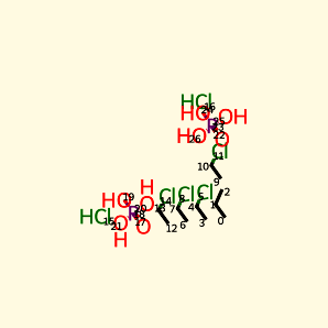 CCC.CCCl.CCCl.CCCl.CCCl.Cl.Cl.O=P(O)(O)O.O=P(O)(O)O